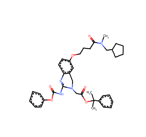 CN(CC1CCCC1)C(=O)CCCOc1ccc2c(c1)CN(CC(=O)OC(C)(C)c1ccccc1)C(NC(=O)Oc1ccccc1)=N2